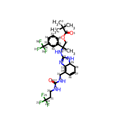 CC(C)(C)C(=O)OCC(C)(NC1=NC2=C(CNC(=O)NCCC(F)(F)F)C=CCC2N1)c1cccc(C(F)(F)F)c1